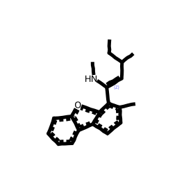 CCC(C)/C=C(\NC)c1c(C)ccc2c1oc1ccccc12